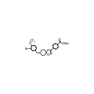 COC(=O)c1ccc(C2=NOC3(CCN(Cc4ccc(OC(F)(F)F)c(Br)c4)CC3)C2)cc1